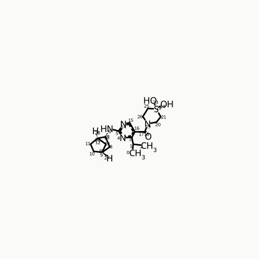 CC(C)c1nc(N[C@@H]2C[C@@H]3CC[C@@H]2C3)ncc1C(=O)N1CCS(O)(O)CC1